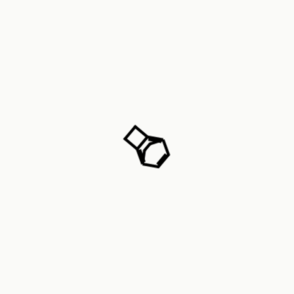 c1cc2c3c(c1CC2)CC3